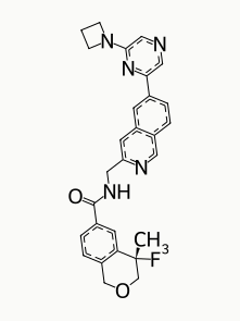 C[C@@]1(F)COCc2ccc(C(=O)NCc3cc4cc(-c5cncc(N6CCC6)n5)ccc4cn3)cc21